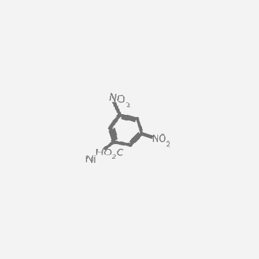 O=C(O)c1cc([N+](=O)[O-])cc([N+](=O)[O-])c1.[Ni]